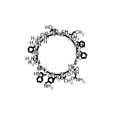 CCCC[C@H]1C(=O)N(C)CC(=O)N[C@@H](CC(=O)O)C(=O)N[C@@H](C(C)C)C(=O)N(C)[C@@H](Cc2ccccc2)C(=O)N[C@@H](CN)C(=O)N(C)CC(=O)NC[C@@H](Cc2c[nH]c3ccccc23)C(=O)N[C@@H](Cc2ccc(CN)cc2)C(=O)N[C@@H](CC(C)C)C(=O)N[C@H](C(=O)NCC(N)=O)CSCC(=O)N[C@@H](Cc2ccccc2)C(=O)N(C)[C@@H](Cc2ccccc2)C(=O)N1C